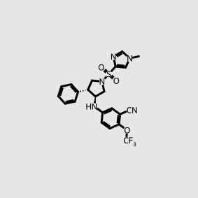 Cn1cnc(S(=O)(=O)N2C[C@@H](Nc3ccc(OC(F)(F)F)c(C#N)c3)[C@H](c3ccccc3)C2)c1